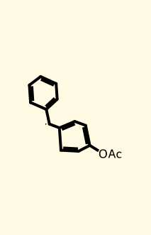 CC(=O)Oc1ccc([CH]c2ccccc2)cc1